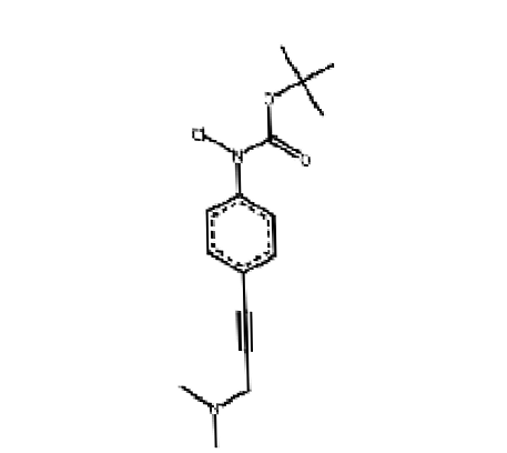 CN(C)CC#Cc1ccc(N(Cl)C(=O)OC(C)(C)C)cc1